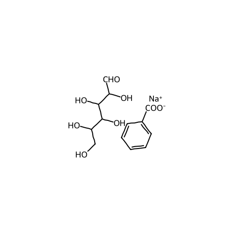 O=C([O-])c1ccccc1.O=CC(O)C(O)C(O)C(O)CO.[Na+]